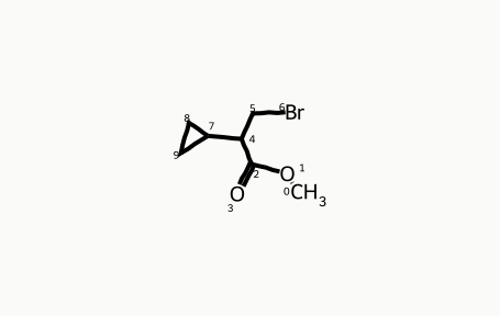 COC(=O)C(CBr)C1CC1